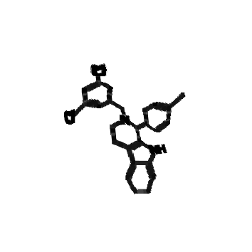 Cc1ccc(C2c3[nH]c4c(c3CCN2Cc2cc(Cl)cc(Cl)c2)=CCCC=4)cc1